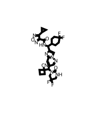 N#CC1(C(c2cnn3cc(C(NC(=O)c4nonc4C4CC4)C4CCC(F)(F)CC4)nc3c2)N2CC(F)(F)CNC2=O)CCC1